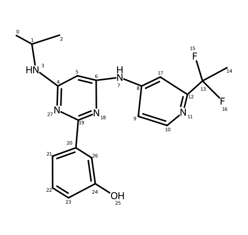 CC(C)Nc1cc(Nc2ccnc(C(C)(F)F)c2)nc(-c2cccc(O)c2)n1